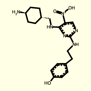 N[C@H]1CC[C@H](CNc2nc(NCCc3ccc(O)cc3)ncc2[N+](=O)O)CC1